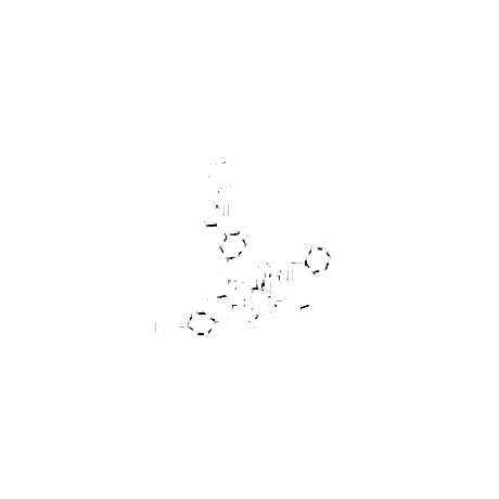 C=CCN1CC(=O)N2C(Cc3ccc(O)cc3)C(=O)N(Cc3cccc(C(=O)NCC4CCCCC4)c3)C[C@@H]2N1C(=O)NCc1ccccc1